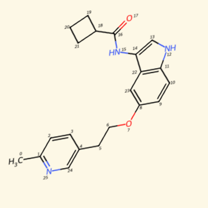 Cc1ccc(CCOc2ccc3[nH]cc(NC(=O)C4CCC4)c3c2)cn1